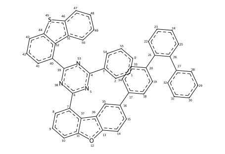 c1ccc(-c2nc(-c3cccc4oc5ccc(-c6ccc(-c7ccccc7-c7ccccc7)cc6)cc5c34)nc(-c3cccc4sc5ccccc5c34)n2)cc1